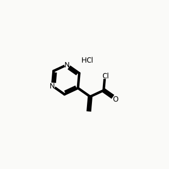 C=C(C(=O)Cl)c1cncnc1.Cl